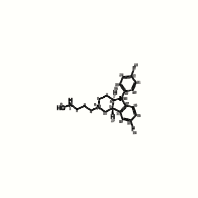 ONCCCN1CC[C@@H]2[C@@H](C1)c1cc(F)ccc1N2c1ccc(F)cc1